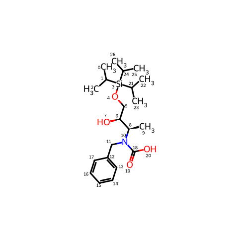 CC(C)[Si](OC[C@H](O)[C@@H](C)N(Cc1ccccc1)C(=O)O)(C(C)C)C(C)C